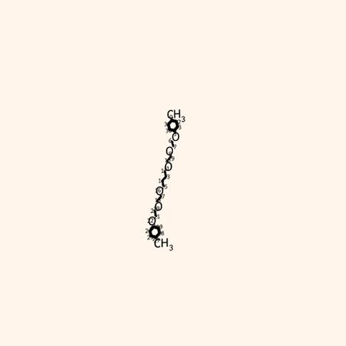 Cc1ccc(OCCOCCOCCCCOCCOCCOc2ccc(C)cc2)cc1